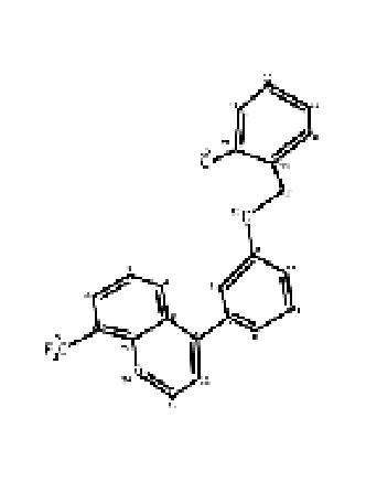 FC(F)(F)c1cccc2c(-c3cccc(OCc4ccccc4Cl)c3)ccnc12